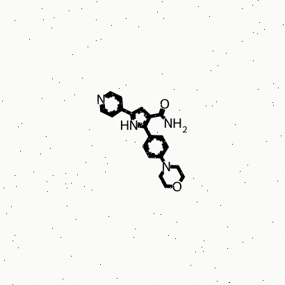 NC(=O)c1cc(-c2ccncc2)[nH]c1-c1ccc(N2CCOCC2)cc1